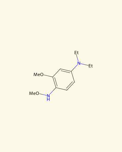 CCN(CC)c1ccc(NOC)c(OC)c1